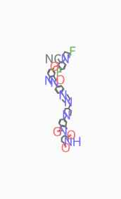 N#Cc1c(N2CC[C@@H](F)C2)ccc(F)c1Oc1ccc2ncn(-c3ccc(N4CCN(CC5CCN(c6ccc7c(c6)CN([C@@H]6CCC(=O)NC6=O)C7=O)CC5)CC4)cc3)c(=O)c2c1